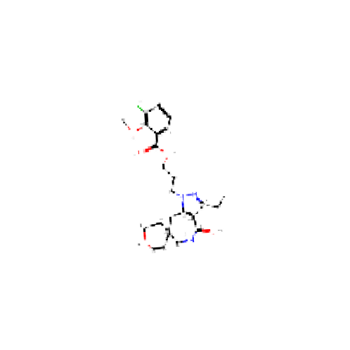 CCc1nn(CCCOC(=O)c2cccc(Cl)c2OC)c2c1C(=O)NCC1(CCOCC1)C2